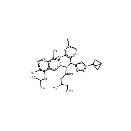 COCC(C)OC(=O)N(c1cc(C#N)c2ncc(C#N)c(NC(C)C(C)(C)C)c2c1)C(c1cn(C23CC(C2)C3)nn1)c1ccc(F)nc1C